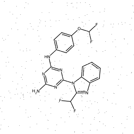 Nc1nc(Nc2ccc(OC(F)F)cc2)nc(-n2c(C(F)F)nc3ccccc32)n1